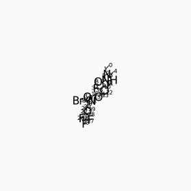 CCN(CC)CNC(=O)c1c(F)ccc(OCc2nc(-c3ccc(C(F)(F)F)cc3)c(Br)o2)c1F